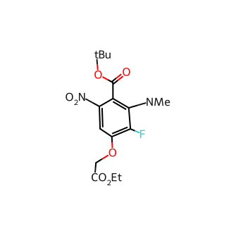 CCOC(=O)COc1cc([N+](=O)[O-])c(C(=O)OC(C)(C)C)c(NC)c1F